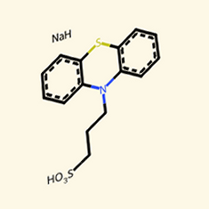 O=S(=O)(O)CCCN1c2ccccc2Sc2ccccc21.[NaH]